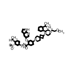 CNc1ccc(SNC(=O)c2ccc(N3CCC4(CC3)CC(N3CCN(CCOC)CC3c3ccccc3C(C)C)C4)cc2Oc2cnc3[nH]ccc3c2)cc1[N+](=O)[O-]